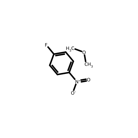 COC.O=[N+]([O-])c1ccc(F)cc1